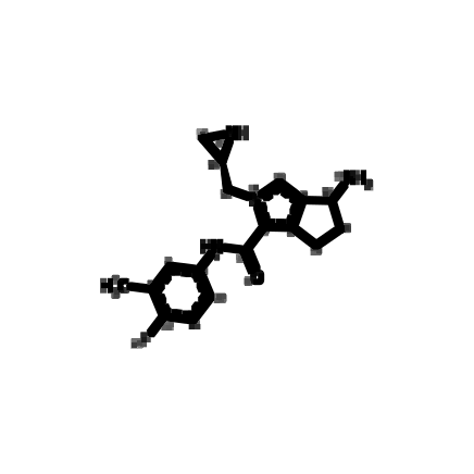 Cc1cc(NC(=O)c2c3c(cn2C[C@H]2CN2)C(N)CC3)ccc1F